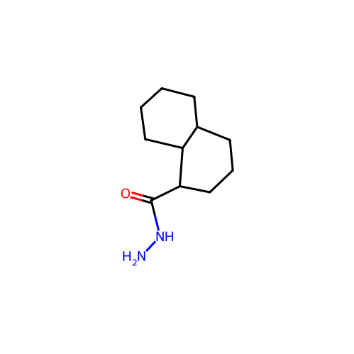 NNC(=O)C1CCCC2CCCCC21